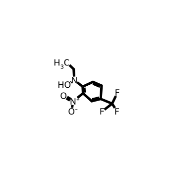 CCN(O)c1ccc(C(F)(F)F)cc1[N+](=O)[O-]